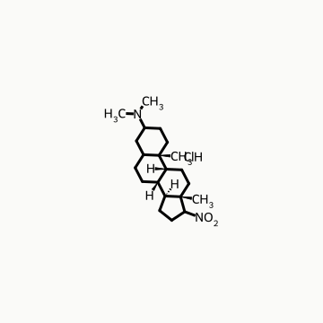 CN(C)C1CC[C@@]2(C)C(CC[C@@H]3[C@H]2CC[C@]2(C)C([N+](=O)[O-])CC[C@@H]32)C1.Cl